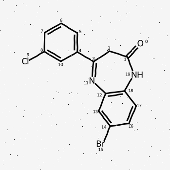 O=C1CC(c2cccc(Cl)c2)=Nc2cc(Br)ccc2N1